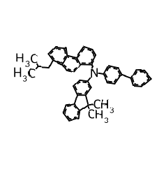 CC(C)Cc1cccc2c1ccc1c(N(c3ccc(-c4ccccc4)cc3)c3ccc4c(c3)C(C)(C)c3ccccc3-4)cccc12